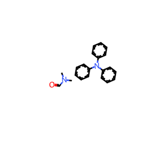 CN(C)C=O.c1ccc(N(c2ccccc2)c2ccccc2)cc1